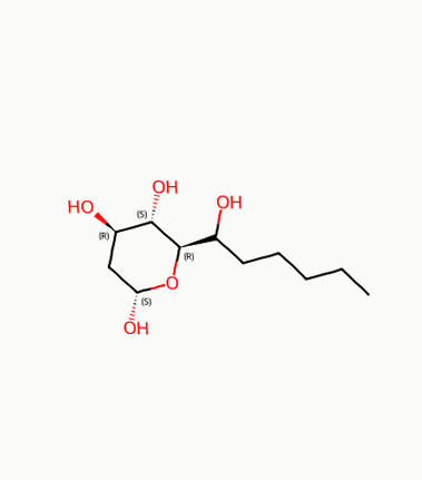 CCCCCC(O)[C@H]1O[C@H](O)C[C@@H](O)[C@@H]1O